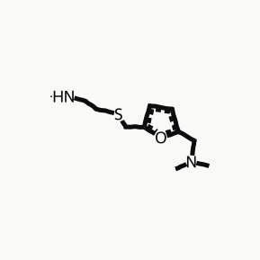 CN(C)Cc1ccc(CSCC[NH])o1